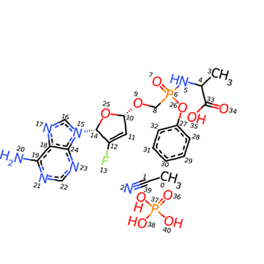 CC#N.CC(NP(=O)(CO[C@@H]1C=C(F)[C@H](n2cnc3c(N)ncnc32)O1)Oc1ccccc1)C(=O)O.O=P(O)(O)O